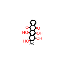 CC(=O)C1(O)Cc2c(O)c3c(c(O)c2C(O)C1)C(=O)c1ccccc1C3=O